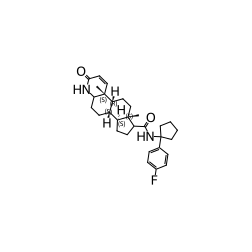 C[C@]12C=CC(=O)NC1CC[C@@H]1[C@H]2CC[C@]2(C)C(C(=O)NC3(c4ccc(F)cc4)CCCC3)CC[C@@H]12